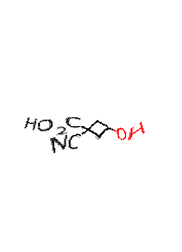 N#CC1(C(=O)O)CC(O)C1